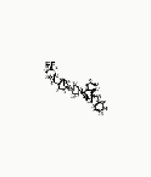 FC1(F)CCN(Cc2ccc(N3CCN(c4nnc(Cc5ccccc5)c5ccccc45)CC3)nc2)CC1